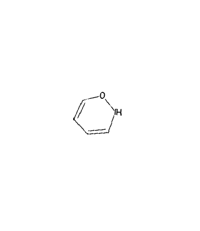 C1=CO[IH]C=C1